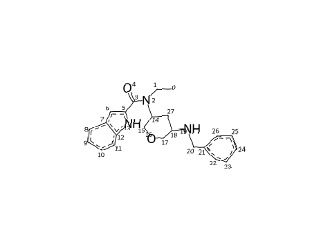 CCN(C(=O)c1cc2ccccc2[nH]1)C1COCC(NCc2ccccc2)C1